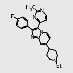 CCN1CCC(c2ccn3c(-c4ccnc(C)n4)c(-c4ccc(F)cc4)nc3c2)CC1